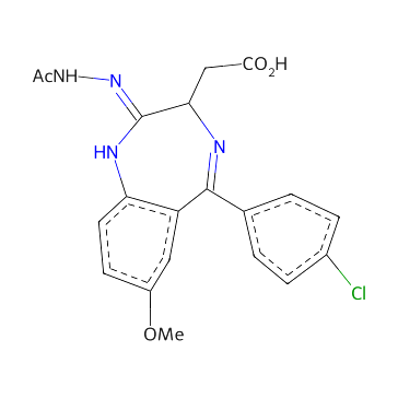 COc1ccc2c(c1)C(c1ccc(Cl)cc1)=NC(CC(=O)O)C(=NNC(C)=O)N2